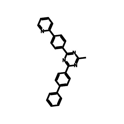 Cc1nc(-c2ccc(-c3ccccc3)cc2)nc(-c2ccc(-c3ccccn3)cc2)n1